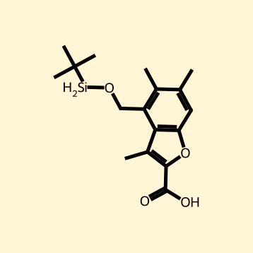 Cc1cc2oc(C(=O)O)c(C)c2c(CO[SiH2]C(C)(C)C)c1C